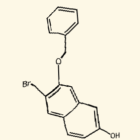 Oc1ccc2cc(Br)c(OCc3ccccc3)cc2c1